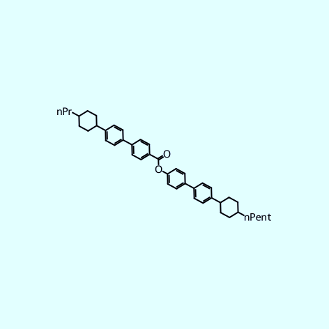 CCCCCC1CCC(c2ccc(-c3ccc(OC(=O)c4ccc(-c5ccc(C6CCC(CCC)CC6)cc5)cc4)cc3)cc2)CC1